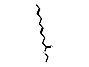 CC=CCCC=CCCC(=O)OCC